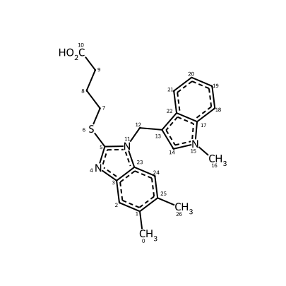 Cc1cc2nc(SCCCC(=O)O)n(Cc3cn(C)c4ccccc34)c2cc1C